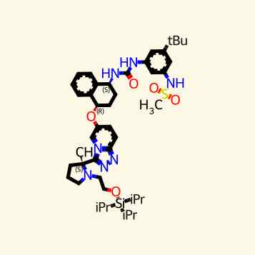 CC(C)[Si](OCCN1CCC[C@@]1(C)c1nnc2ccc(O[C@@H]3CC[C@H](NC(=O)Nc4cc(NS(C)(=O)=O)cc(C(C)(C)C)c4)c4ccccc43)cn12)(C(C)C)C(C)C